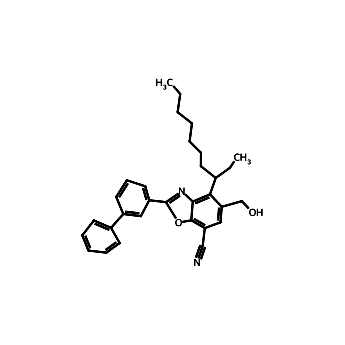 CCCCCCCC(CC)c1c(CO)cc(C#N)c2oc(-c3cccc(-c4ccccc4)c3)nc12